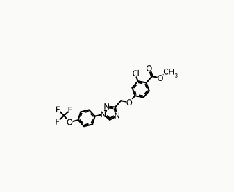 COC(=O)c1ccc(OCc2ncn(-c3ccc(OC(F)(F)F)cc3)n2)cc1Cl